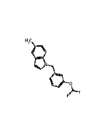 Cc1ccc2c(ccn2Cc2cccc(OC(F)F)c2)c1